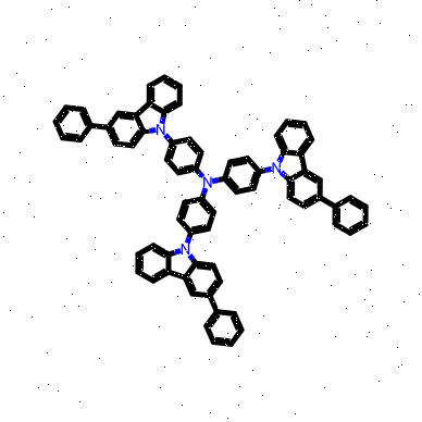 c1ccc(-c2ccc3c(c2)c2ccccc2n3-c2ccc(N(c3ccc(-n4c5ccccc5c5cc(-c6ccccc6)ccc54)cc3)c3ccc(-n4c5ccccc5c5cc(-c6ccccc6)ccc54)cc3)cc2)cc1